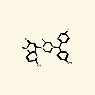 C[C@H]1CN(C(c2ccc(C#N)cc2)c2ccc(F)cn2)CCN1c1cc(=O)n(C)c2ccc(C#N)nc12